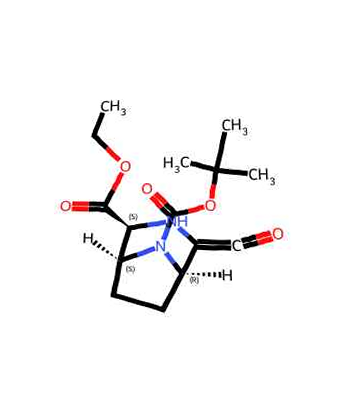 CCOC(=O)[C@H]1NC(=C=O)[C@H]2CC[C@@H]1N2C(=O)OC(C)(C)C